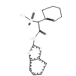 O=C(Nc1nc2ccccc2s1)C(C1=CCCCC1)S(=O)(=O)O